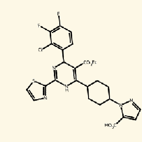 CCOC(=O)C1=C(C2CCC(n3nccc3C(=O)O)CC2)NC(c2nccs2)=NC1c1ccc(F)c(F)c1Cl